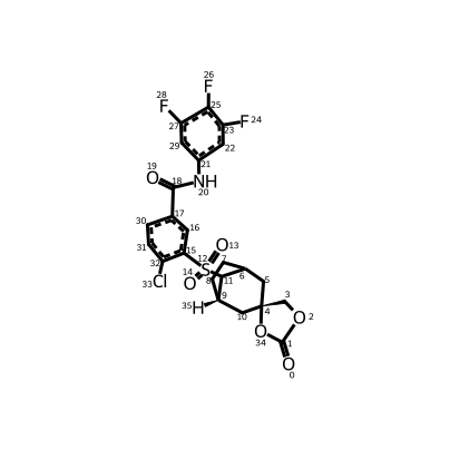 O=C1OC[C@@]2(CC3CC[C@@H](C2)C3S(=O)(=O)c2cc(C(=O)Nc3cc(F)c(F)c(F)c3)ccc2Cl)O1